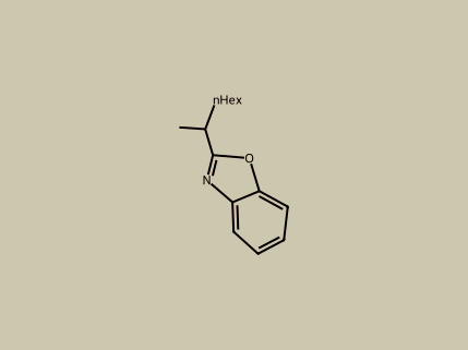 CCCCCCC(C)c1nc2ccccc2o1